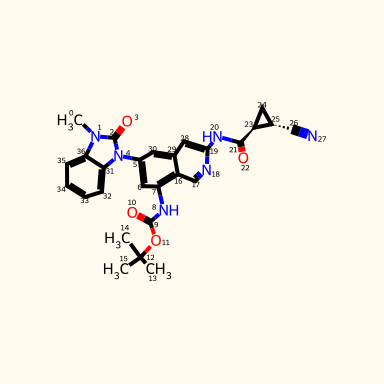 Cn1c(=O)n(-c2cc(NC(=O)OC(C)(C)C)c3cnc(NC(=O)[C@H]4C[C@@H]4C#N)cc3c2)c2ccccc21